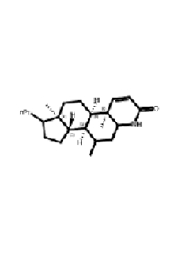 CCCC1CC[C@H]2[C@@H]3C(C)CC4NC(=O)C=C[C@]4(C)[C@@H]3CC[C@]12C